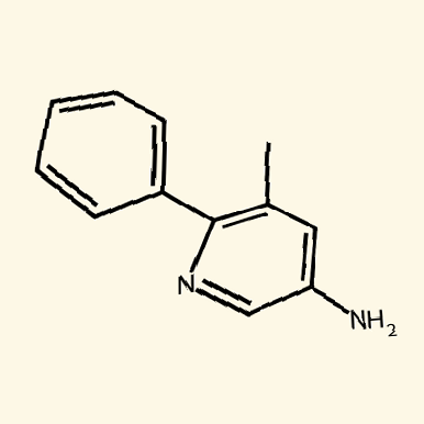 Cc1cc(N)cnc1-c1ccccc1